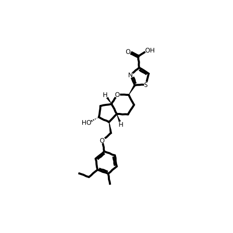 CCc1cc(OC[C@@H]2[C@H]3CC[C@H](c4nc(C(=O)O)cs4)O[C@H]3C[C@H]2O)ccc1C